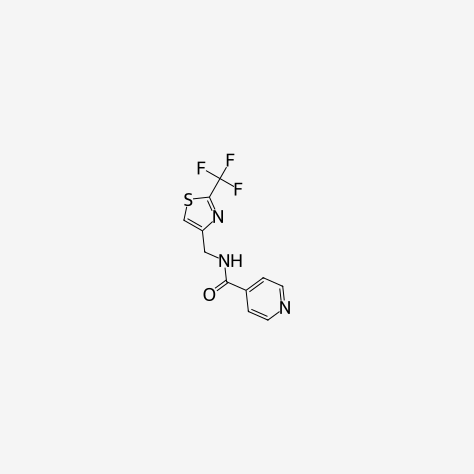 O=C(NCc1csc(C(F)(F)F)n1)c1ccncc1